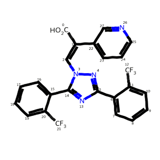 O=C(O)C(=Cn1nc(-c2ccccc2C(F)(F)F)nc1-c1ccccc1C(F)(F)F)c1cccnc1